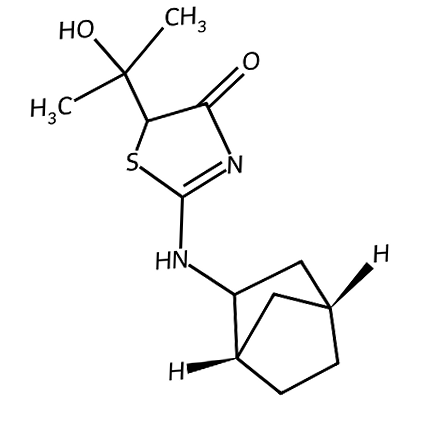 CC(C)(O)C1SC(NC2C[C@@H]3CC[C@H]2C3)=NC1=O